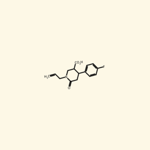 C=CCN1CC(C(=O)O)C(c2ccc(F)cc2)CC1=O